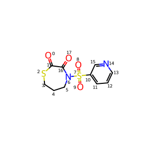 O=C1S[CH]CCN(S(=O)(=O)c2cccnc2)C1=O